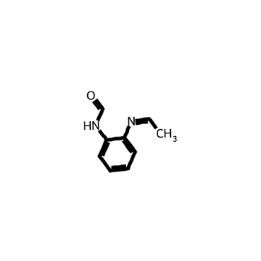 C/C=N\c1ccccc1NC=O